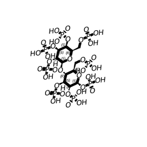 O=P(O)(O)OC[C@H]1O[C@@H](O[C@H]2[C@H](OP(=O)(O)O)[C@@H](OP(=O)(O)O)[C@H](OP(=O)(O)O)O[C@@H]2COP(=O)(O)O)[C@H](OP(=O)(O)O)[C@@H](OP(=O)(O)O)[C@H]1OP(=O)(O)O